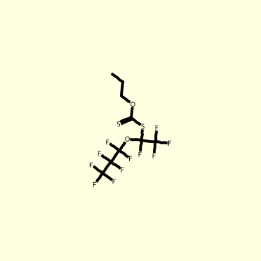 CCCOC(=S)SC(F)(OC(F)(F)C(F)(F)C(F)(F)F)C(F)(F)F